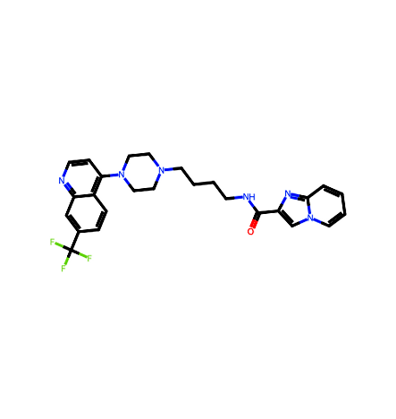 O=C(NCCCCN1CCN(c2ccnc3cc(C(F)(F)F)ccc23)CC1)c1cn2ccccc2n1